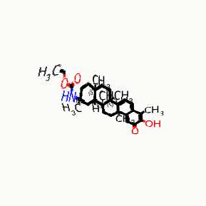 CCOC(=O)N[C@]1(C)CC[C@]2(C)CC[C@]3(C)C4=CC=C5C(=CC(=O)C(O)=C5C)[C@]4(C)CC[C@@]3(C)[C@@H]2C1